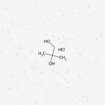 CC(C)(O)CO.Cl